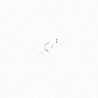 CC(C)(C)c1ccc(C(N)=O)cc1Cl